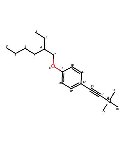 CCCCC(CC)COc1ccc(C#C[Si](C)(C)C)cc1